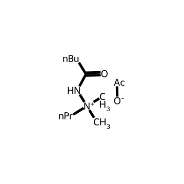 CC(=O)[O-].CCCCC(=O)N[N+](C)(C)CCC